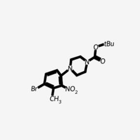 Cc1c(Br)ccc(N2CCN(C(=O)OC(C)(C)C)CC2)c1[N+](=O)[O-]